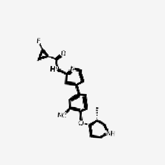 N#Cc1cc(-c2ccnc(NC(=O)[C@H]3C[C@H]3F)c2)ccc1O[C@H]1CCNC[C@H]1F